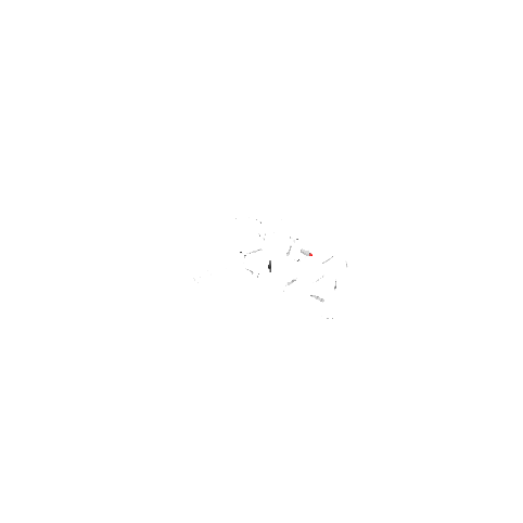 C#Cc1c(F)ccc2cc(O)cc(C3=C(F)c4nc(OC[C@@]56CCCN5C[C@H](F)C6)nc(N5C[C@H]6CC[C@@H](C5)N6)c4C4=NCCN43)c12